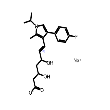 Cc1c(/C=C/C(O)CC(O)CC(=O)[O-])c(-c2ccc(F)cc2)cn1C(C)C.[Na+]